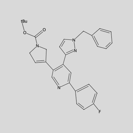 CC(C)(C)OC(=O)N1CC=C(c2cnc(-c3ccc(F)cc3)cc2-c2ccn(Cc3ccccc3)n2)C1